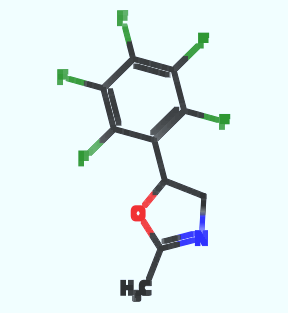 CC1=NCC(c2c(F)c(F)c(F)c(F)c2F)O1